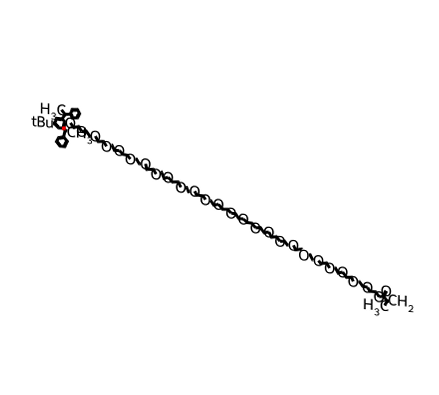 C=C(C)C(=O)OCCOCCOCCOCCOCCOCCOCCOCCOCCOCCOCCOCCOCCOCCOCCOCCOCCOCCOCCOCCOCCOCCOCCOCCOCCOc1c(C(C)c2ccccc2)cc(C(C)(C)C)cc1C(C)c1ccccc1